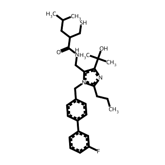 CCCc1nc(C(C)(C)O)c(CNC(=O)C(CS)CC(C)C)n1Cc1ccc(-c2cccc(F)c2)cc1